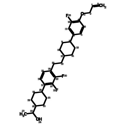 C=CCOc1ccc(C2CCC(CCc3ccc(C4CCC(C(C)O)CC4)c(F)c3F)CC2)cc1F